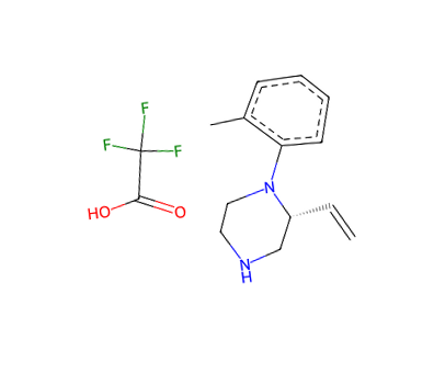 C=C[C@@H]1CNCCN1c1ccccc1C.O=C(O)C(F)(F)F